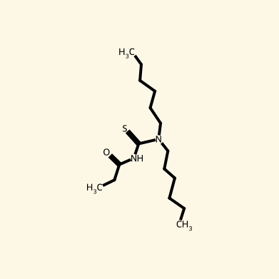 CCCCCCN(CCCCCC)C(=S)NC(=O)CC